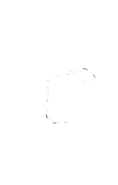 [CH2]CC(COCCCCCCCC/C=C\C/C=C\CCCCC)OCCCCCCCC/C=C\C/C=C\CCCCC